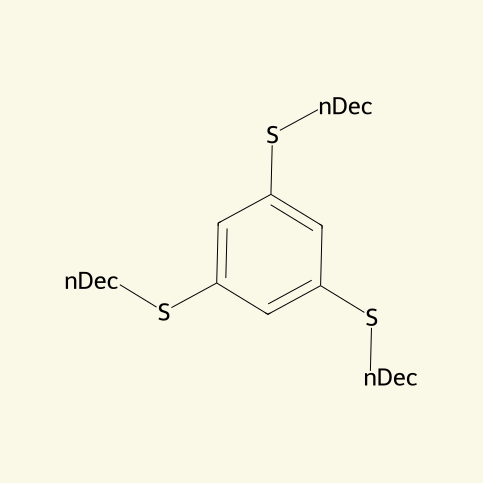 CCCCCCCCCCSc1cc(SCCCCCCCCCC)cc(SCCCCCCCCCC)c1